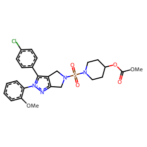 COC(=O)OC1CCN(S(=O)(=O)N2Cc3nn(-c4ccccc4OC)c(-c4ccc(Cl)cc4)c3C2)CC1